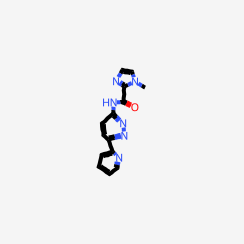 Cn1ccnc1C(=O)Nc1ccc(-c2ccccn2)nn1